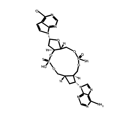 Nc1ncnc2c1ncn2[C@@H]1C[C@@H]2COP(O)(=S)O[C@H]3C[C@H](n4ccc5c(Cl)ncnc54)O[C@@H]3COP(=O)(S)OC[C@H]21